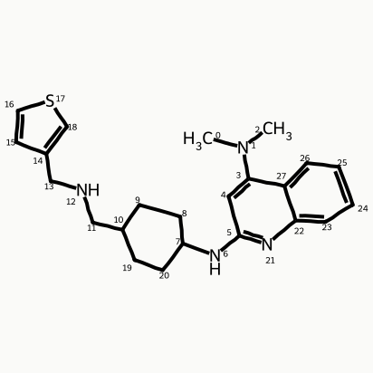 CN(C)c1cc(NC2CCC(CNCc3ccsc3)CC2)nc2ccccc12